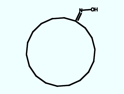 ON=C1CCCCCCCCCCCCCCCCC1